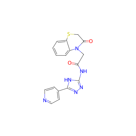 O=C(CN1C(=O)CSc2ccccc21)Nc1nnc(-c2ccncc2)[nH]1